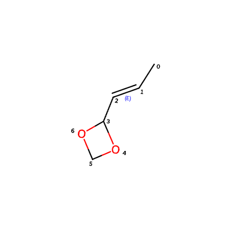 C/C=C/C1OCO1